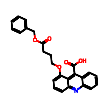 O=C(CCCOc1cccc2nc3ccccc3c(C(=O)O)c12)OCc1ccccc1